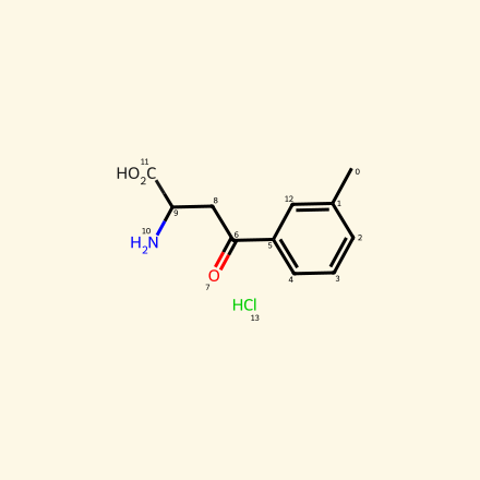 Cc1cccc(C(=O)CC(N)C(=O)O)c1.Cl